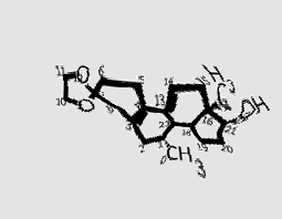 C[C@@H]1CC2=C(CCC3(C2)OCCO3)C2=CC[C@@]3(C)C(CC[C@@H]3O)C21